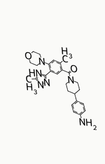 Cc1nnc(-c2cc(C(=O)N3CCC(c4ccc(N)cc4)CC3)c(C)cc2N2CCOCC2)[nH]1